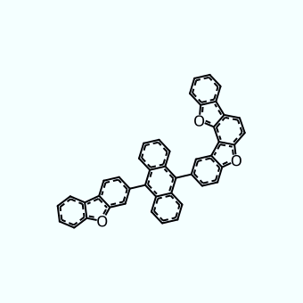 c1ccc2c(c1)oc1cc(-c3c4ccccc4c(-c4ccc5oc6ccc7c8ccccc8oc7c6c5c4)c4ccccc34)ccc12